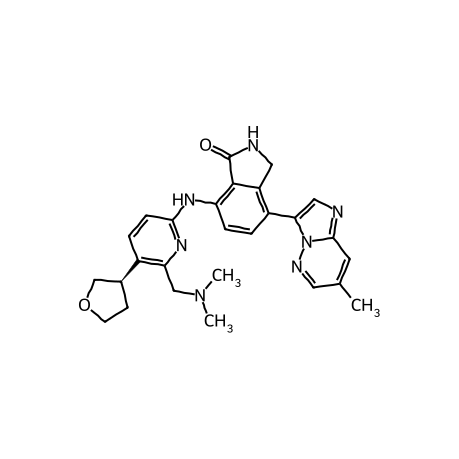 Cc1cnn2c(-c3ccc(Nc4ccc([C@H]5CCOC5)c(CN(C)C)n4)c4c3CNC4=O)cnc2c1